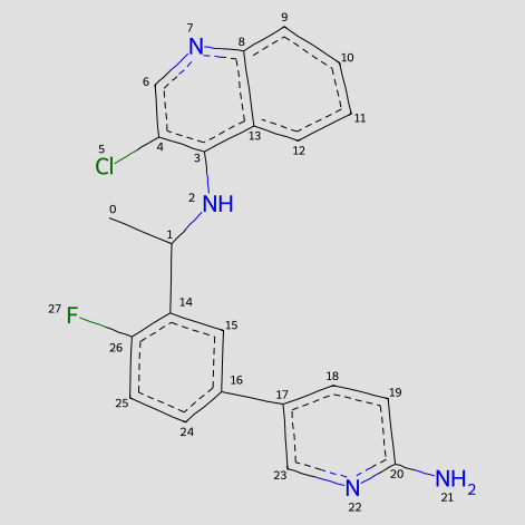 CC(Nc1c(Cl)cnc2ccccc12)c1cc(-c2ccc(N)nc2)ccc1F